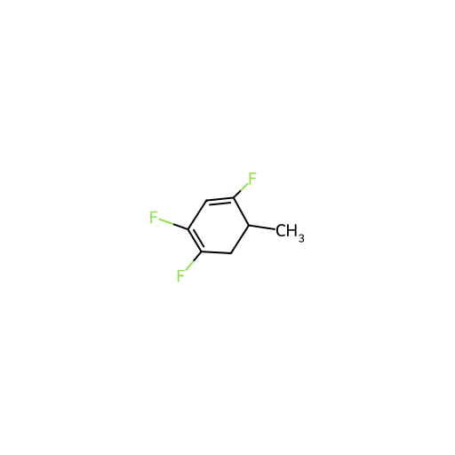 CC1CC(F)=C(F)C=C1F